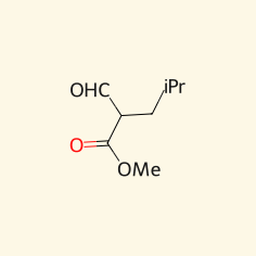 COC(=O)C(C=O)CC(C)C